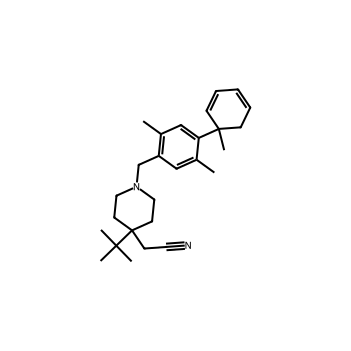 Cc1cc(C2(C)C=CC=CC2)c(C)cc1CN1CCC(CC#N)(C(C)(C)C)CC1